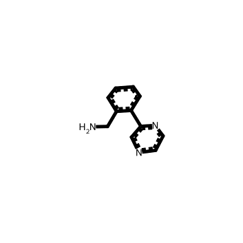 NCc1ccccc1-c1cnccn1